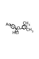 CC(=O)N1CCN(C(=O)OCc2cc(C)nc(C)c2)CC1.Cl